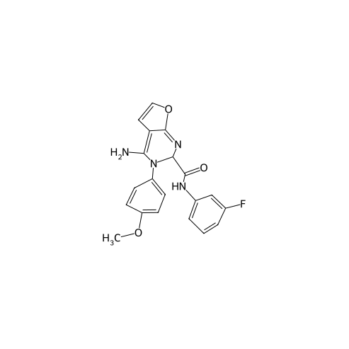 COc1ccc(N2C(N)=c3ccoc3=NC2C(=O)Nc2cccc(F)c2)cc1